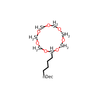 CCCCCCCCCCCCCC[SiH]1O[SiH2]O[SiH2]O[SiH2]O[SiH2]O[SiH2]O[SiH2]O1